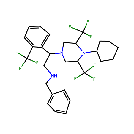 FC(F)(F)c1ccccc1C(CNCc1ccccc1)N1CC(C(F)(F)F)N(C2CCCCC2)C(C(F)(F)F)C1